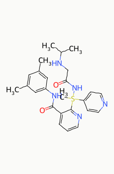 Cc1cc(C)cc(NC(=O)c2cccnc2S(C)(NC(=O)CNC(C)C)c2ccncc2)c1